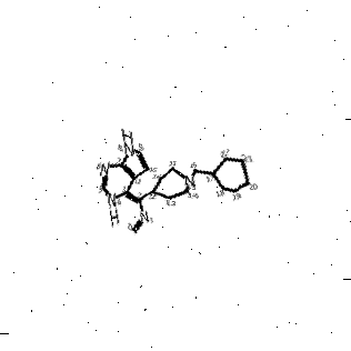 C=N/C(=C1\NC=Nc2[nH]ccc21)C1CCN(CC2CCCCC2)CC1